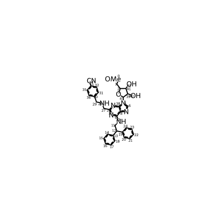 COCC1OC(n2cnc3c(NCC(c4ccccc4)c4ccccc4)nc(CNCc4ccc(C#N)cc4)nc32)C(O)C1O